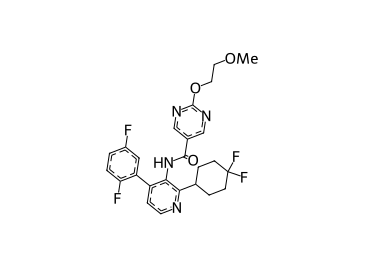 COCCOc1ncc(C(=O)Nc2c(-c3cc(F)ccc3F)ccnc2C2CCC(F)(F)CC2)cn1